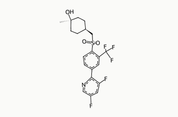 C[C@]1(O)CC[C@@H](CS(=O)(=O)c2ccc(-c3ncc(F)cc3F)cc2C(F)(F)F)CC1